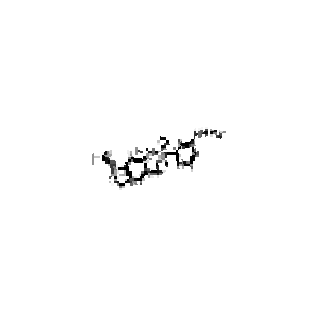 CC(=O)Nc1ccnc(S(=O)(=O)Nc2cc3c(cc2F)COB3O)c1